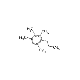 CC[CH]c1c(C)cc(C)c(C)c1C